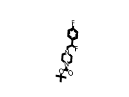 CC(C)(C)OC(=O)N1CCN(CC(F)c2ccc(F)cc2)CC1